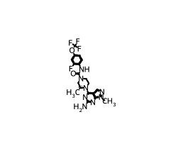 C[C@H]1CN(C(=O)Nc2ccc(OC(F)(F)F)cc2F)CCN1c1nc(N)nc2c1cnn2C